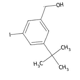 CC(C)(C)c1cc(I)cc([CH]O)c1